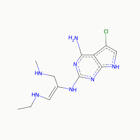 CCN/C=C(\CNC)Nc1nc(N)c2c(Cl)c[nH]c2n1